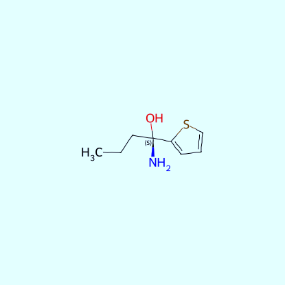 CCC[C@](N)(O)c1cccs1